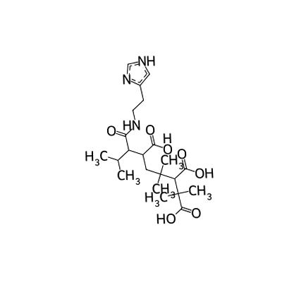 CC(C)C(C(=O)NCCc1c[nH]cn1)C(CC(C)(C)C(C(=O)O)C(C)(C)C(=O)O)C(=O)O